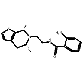 C[C@@H]1Cc2ccsc2[C@H](C)N1CCNC(=O)c1ccccc1N